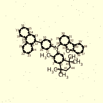 Cc1cc2c(cc1N(c1ccc(-c3cc4ccccc4c4ccccc34)cc1)c1cccc3c1oc1ccccc13)C(C)(C)CCC2(C)C